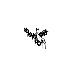 CNC(=O)C1CCCC2(CCN(c3cc(Nc4cc(OC(F)(F)F)ccn4)nc(-c4cnn(C5CCN(C)CC5)c4)n3)C2)C1